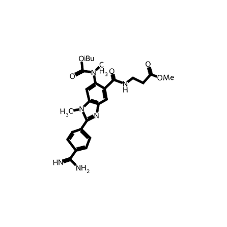 COC(=O)CCNC(=O)c1cc2nc(-c3ccc(C(=N)N)cc3)n(C)c2cc1N(C)C(=O)OCC(C)C